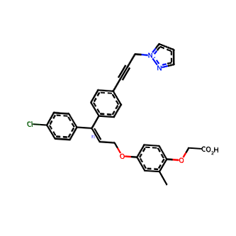 Cc1cc(OC/C=C(/c2ccc(Cl)cc2)c2ccc(C#CCn3cccn3)cc2)ccc1OCC(=O)O